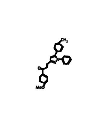 COc1ccc(C(=O)C=Cc2cc(-c3ccc(C)cc3)n(-c3ccccc3)n2)cc1